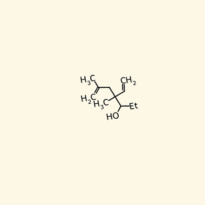 C=CC(C)(CC(=C)C)C(O)CC